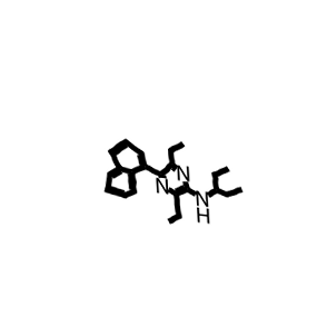 CCc1nc(-c2cccc3ccccc23)c(CC)nc1NC(CC)CC